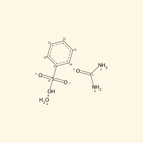 NC(N)=O.O.O=S(=O)(O)c1ccccc1